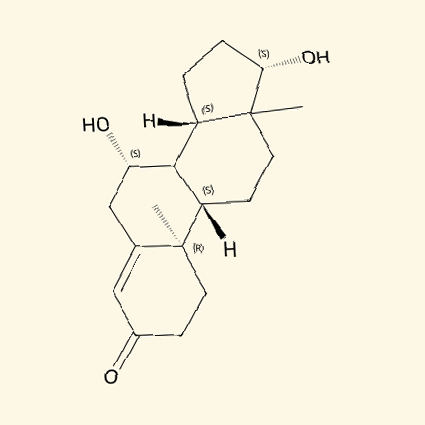 CC12CC[C@H]3C([C@@H](O)CC4=CC(=O)CC[C@@]43C)[C@@H]1CC[C@@H]2O